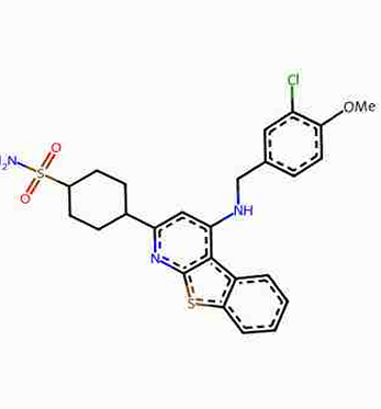 COc1ccc(CNc2cc(C3CCC(S(N)(=O)=O)CC3)nc3sc4ccccc4c23)cc1Cl